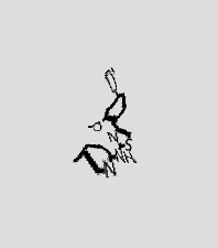 COc1ccc(-c2csc(Nc3ccc(C)cn3)n2)c(OC)c1